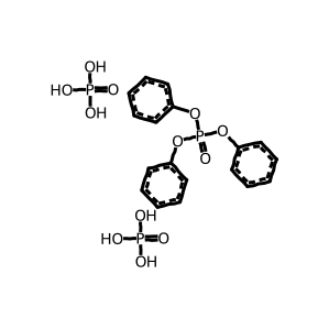 O=P(O)(O)O.O=P(O)(O)O.O=P(Oc1ccccc1)(Oc1ccccc1)Oc1ccccc1